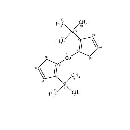 C[Si](C)(C)C1=[C]([Co][C]2=C([Si](C)(C)C)C=CC2)CC=C1